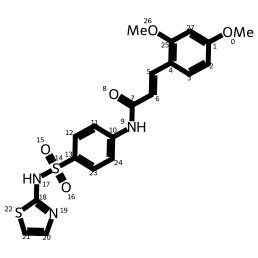 COc1ccc(/C=C/C(=O)Nc2ccc(S(=O)(=O)Nc3nccs3)cc2)c(OC)c1